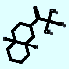 CC(C)(C)C(=O)N1CC[C@H]2CCCC[C@@H]2C1